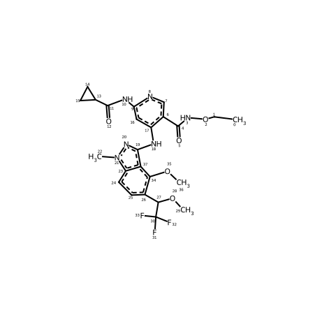 CCONC(=O)c1cnc(NC(=O)C2CC2)cc1Nc1nn(C)c2ccc(C(OC)C(F)(F)F)c(OC)c12